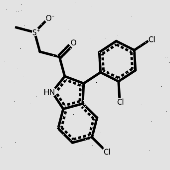 C[S+]([O-])CC(=O)c1[nH]c2ccc(Cl)cc2c1-c1ccc(Cl)cc1Cl